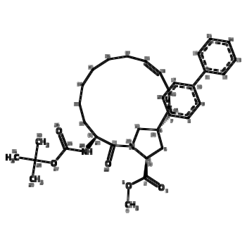 COC(=O)[C@@H]1C[C@@]2(c3ccc(-c4ccccc4)cc3)CN1C(=O)[C@@H](NC(=O)OC(C)(C)C)CCCCCCC=CCS2